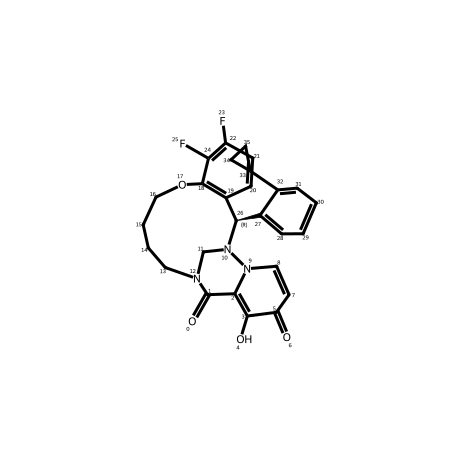 O=C1c2c(O)c(=O)ccn2N2CN1CCCCOc1c(ccc(F)c1F)[C@H]2c1ccccc1C1CC1